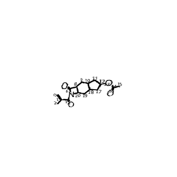 C=C(C)C(=O)N1C(=O)C2CC3CC(OC(C)=O)CC3CC21